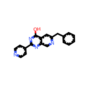 Oc1nc(-c2ccncc2)nc2cnc(Cc3ccccc3)cc12